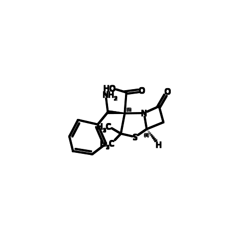 CC1(C)S[C@@H]2CC(=O)N2[C@]1(C(=O)O)C(N)c1ccccc1